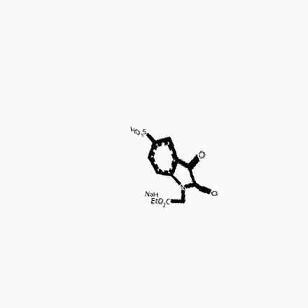 CCOC(=O)CN1C(=O)C(=O)c2cc(S(=O)(=O)O)ccc21.[NaH]